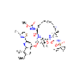 COc1ccc2c(O[C@H]3CN4C(=O)[C@@H](NC(=O)OC(C)(C)C)CCCCC/C=C\[C@@H]5C[C@@]5(C(=O)NS(=O)(=O)C5(C)CC5)NC(=O)[C@@H]4[C@H]3C)cc(-c3nc(C(C)C)cs3)nc2c1C